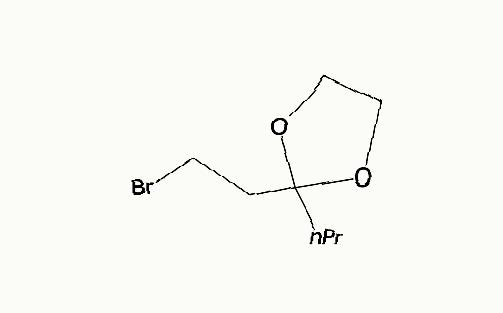 CCCC1(CCBr)OCCO1